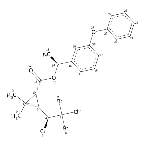 CC1(C)[C@@H]([C@H](Cl)C(Cl)(Br)Br)[C@H]1C(=O)O[C@@H](C#N)c1cccc(Oc2ccccc2)c1